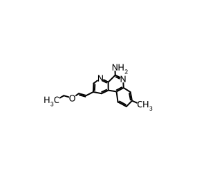 CCOC=Cc1cnc2c(N)nc3cc(C)ccc3c2c1